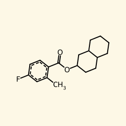 Cc1cc(F)ccc1C(=O)OC1CCC2CCCCC2C1